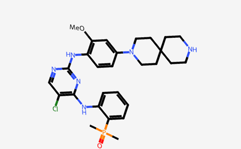 COc1cc(N2CCC3(CCNCC3)CC2)ccc1Nc1ncc(Cl)c(Nc2ccccc2P(C)(C)=O)n1